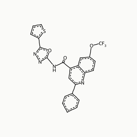 O=C(Nc1nnc(-c2cccs2)o1)c1cc(-c2ccccc2)nc2ccc(OC(F)(F)F)cc12